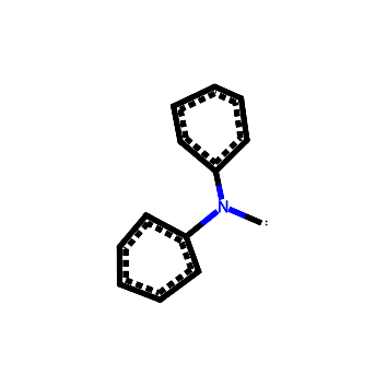 [CH]N(c1ccccc1)c1ccccc1